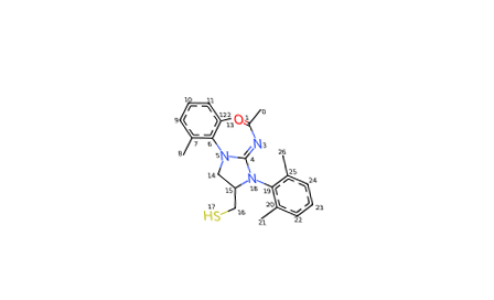 CC(=O)N=C1N(c2c(C)cccc2C)CC(CS)N1c1c(C)cccc1C